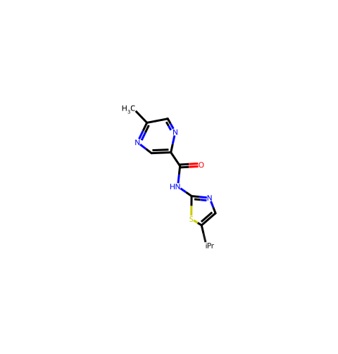 Cc1cnc(C(=O)Nc2ncc(C(C)C)s2)cn1